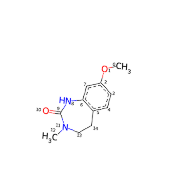 COc1ccc2c(c1)NC(=O)N(C)CC2